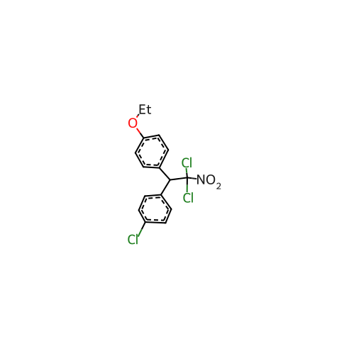 CCOc1ccc(C(c2ccc(Cl)cc2)C(Cl)(Cl)[N+](=O)[O-])cc1